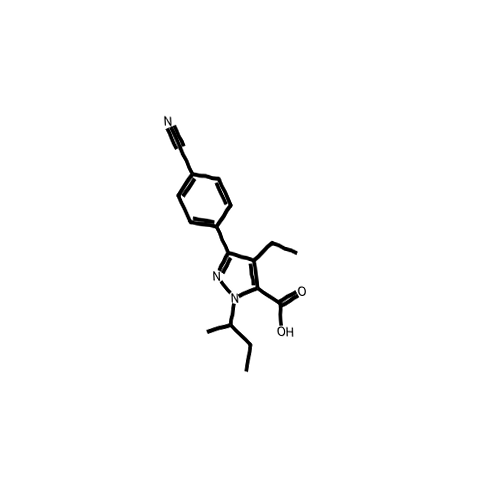 CCc1c(-c2ccc(C#N)cc2)nn(C(C)CC)c1C(=O)O